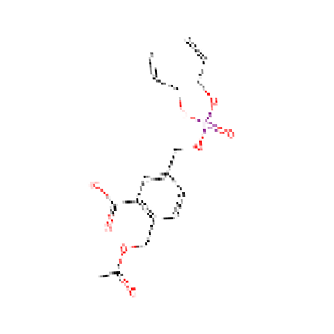 C=CCOP(=O)(OCC=C)OCc1ccc(COC(C)=O)c(C(=O)O)c1